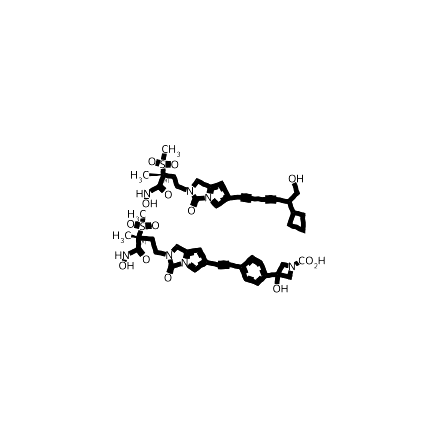 C[C@@](CCN1Cc2cc(C#CC#CC(CO)C3CCC3)cn2C1=O)(C(=O)NO)S(C)(=O)=O.C[C@@](CCN1Cc2cc(C#Cc3ccc(C4(O)CN(C(=O)O)C4)cc3)cn2C1=O)(C(=O)NO)S(C)(=O)=O